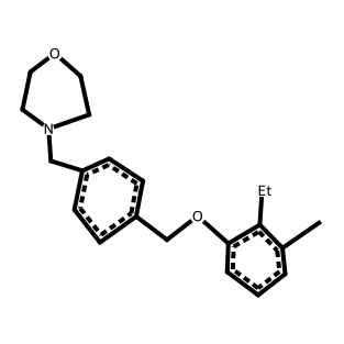 CCc1c(C)cccc1OCc1ccc(CN2CCOCC2)cc1